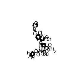 CCOc1cc(OC2C[C@@H](C(N)=O)N(C(=O)[C@@H](NC(=O)O[C@@H]3C[C@@H]4[C@H](C)[C@@H]4C3)C(C)(C)C)C2)c2ccc(OCCN3CCOCC3)c(Cl)c2n1